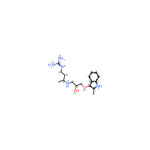 Cc1[nH]c2ccccc2c1OCC(O)CNC(C)CCN=C(N)N